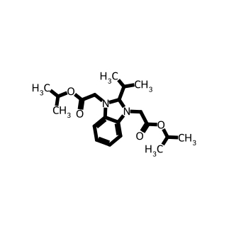 CC(C)OC(=O)CN1c2ccccc2N(CC(=O)OC(C)C)C1C(C)C